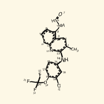 Cc1cc2c(N[SH]=O)cccc2nc1Nc1ccc(OC(F)(F)F)c(Cl)c1